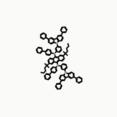 CCCCC(C)(C)c1ccc2c(N(c3ccc(-c4ccccc4)cc3)c3cccc(-n4c5ccc(-c6ccccc6)cc5c5cc(-c6ccccc6)ccc54)c3)c3cc(C(C)(C)CCCC)ccc3c(N(c3ccc(-c4ccccc4)cc3)c3cccc(-n4c5ccc(-c6ccccc6)cc5c5cc(-c6ccccc6)ccc54)c3)c2c1